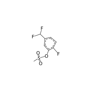 CS(=O)(=O)Oc1cc(C(F)F)ccc1F